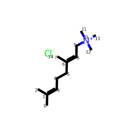 CC(C)=CCC/C(C)=C/C[N+](C)(C)C.[Cl-]